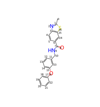 Cc1nc2ccc(C(=O)NCc3cccc(Oc4ccccc4)c3)cc2s1